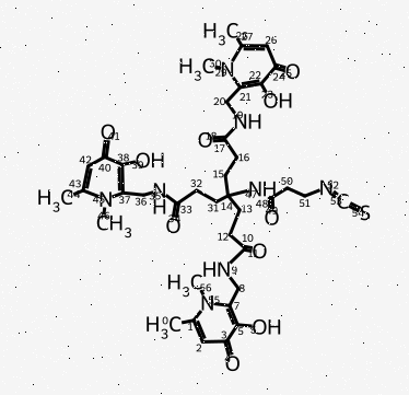 Cc1cc(=O)c(O)c(CNC(=O)CCC(CCC(=O)NCc2c(O)c(=O)cc(C)n2C)(CCC(=O)NCc2c(O)c(=O)cc(C)n2C)NC(=O)CCN=C=S)n1C